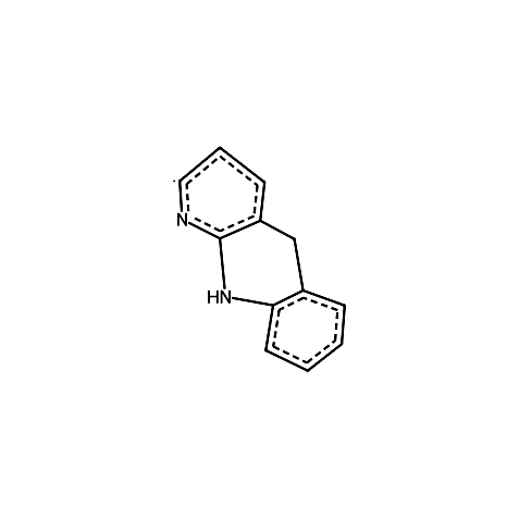 [c]1ccc2c(n1)Nc1ccccc1C2